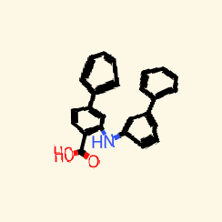 O=C(O)c1ccc(-c2ccccc2)cc1Nc1cccc(-c2ccccc2)c1